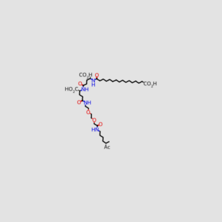 CC(=O)[C@@H](C)CCCCNC(=O)COCCOCCNC(=O)CC[C@H](NC(=O)CC[C@H](NC(=O)CCCCCCCCCCCCCCC(=O)O)C(=O)O)C(=O)O